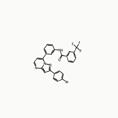 O=C(Nc1cccc(-c2ccnc3cc(-c4ccc(Br)cc4)nn23)c1)c1cccc(C(F)(F)F)c1